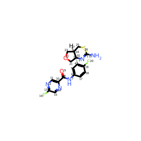 NC1=N[C@@]2(c3cc(NC(=O)c4cnc(F)cn4)ccc3F)COC[C@H]2CS1